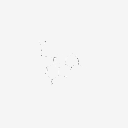 O=C1C=CC2[C@H]3Cc4ccc(O)c5c4[C@@]2(CCN3CC2CC2)[C@H]1O5